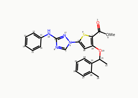 COC(=O)c1sc(-n2cnc(Nc3ccccc3)n2)cc1OC(C)c1ccccc1C